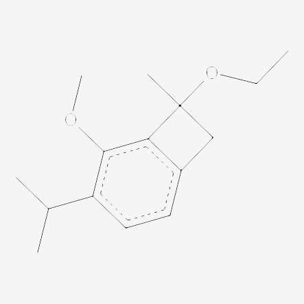 CCOC1(C)Cc2ccc(C(C)C)c(OC)c21